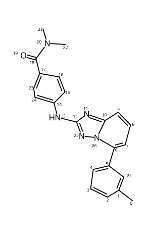 Cc1cccc(-c2cccc3nc(Nc4ccc(C(=O)N(C)C)cc4)nn23)c1